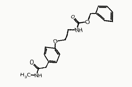 CNC(=O)Cc1ccc(OCCNC(=O)OCc2ccccc2)cc1